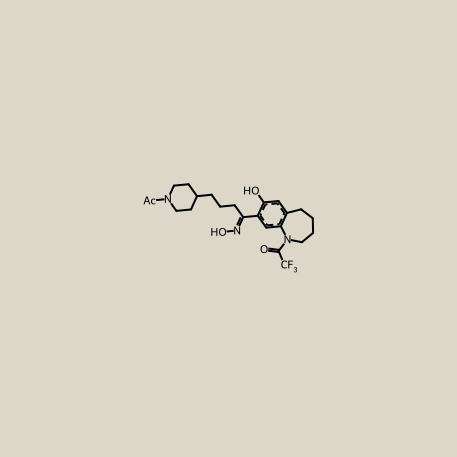 CC(=O)N1CCC(CCCC(=NO)c2cc3c(cc2O)CCCCN3C(=O)C(F)(F)F)CC1